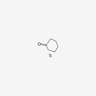 O=C1CCCCC1.[Ti]